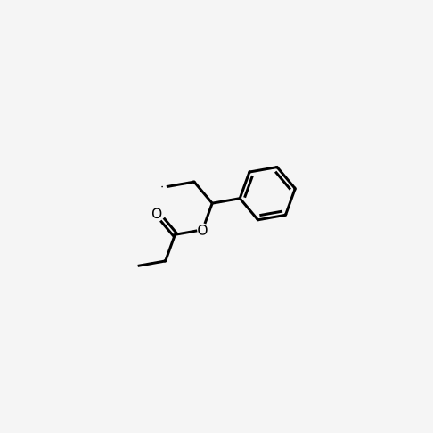 [CH2]CC(OC(=O)CC)c1ccccc1